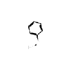 S[P]c1ccccc1